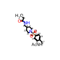 C=CC(=O)NCC1CCN(S(=O)(=O)c2ccc(CNC(C)=O)cc2)CC1